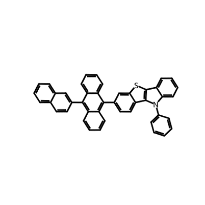 c1ccc(-n2c3ccccc3c3sc4cc(-c5c6ccccc6c(-c6ccc7ccccc7c6)c6ccccc56)ccc4c32)cc1